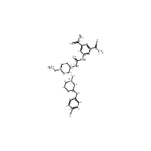 CCN1CC[C@@H](NC(=O)Nc2cc(C(C)=O)cc(C(C)=O)c2)[C@H](CN2CCCC(Cc3ccc(F)cc3)C2)C1